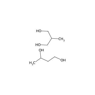 CC(CO)CO.CC(O)CCO